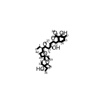 CC[C@@H](C(=O)[C@@H](C)[C@@H](O)[C@H](C)CCc1ccc(C)c(O)c1C(=O)OC)[C@H]1O[C@](CC)([C@H]2CC[C@](O)(CC)[C@H](C)O2)C[C@@H]1C